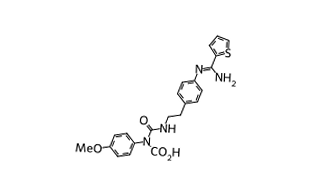 COc1ccc(N(C(=O)O)C(=O)NCCc2ccc(N=C(N)c3cccs3)cc2)cc1